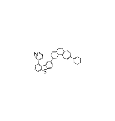 C1=CCCC(C2=CCC3=C(C=C2)C=CC2=CCC(c4ccc5sc6cccc(-c7cccnc7)c6c5c4)CC23)=C1